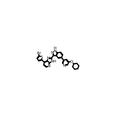 CC(=O)c1ccc(-c2ccnc3[nH]c(-c4n[nH]c5ccc(-c6cncc(OC7CCCCC7)c6)cc45)nc23)s1